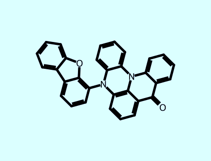 O=c1c2ccccc2n2c3c(cccc13)N(c1cccc3c1oc1ccccc13)c1ccccc1-2